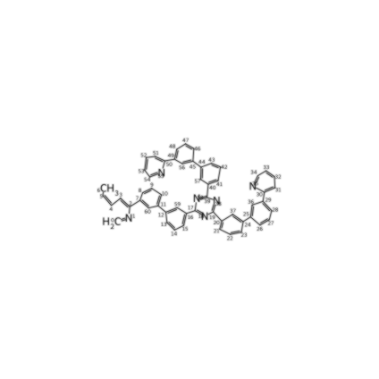 C=N/C(=C\C=C/C)c1cccc(-c2cccc(-c3nc(-c4cccc(-c5cccc(-c6ccccn6)c5)c4)nc(-c4cccc(-c5cccc(-c6ccccn6)c5)c4)n3)c2)c1